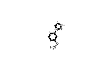 NSc1cccc(-n2ccnn2)c1